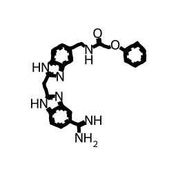 N=C(N)c1ccc2[nH]c(Cc3nc4cc(CNC(=O)COc5ccccc5)ccc4[nH]3)nc2c1